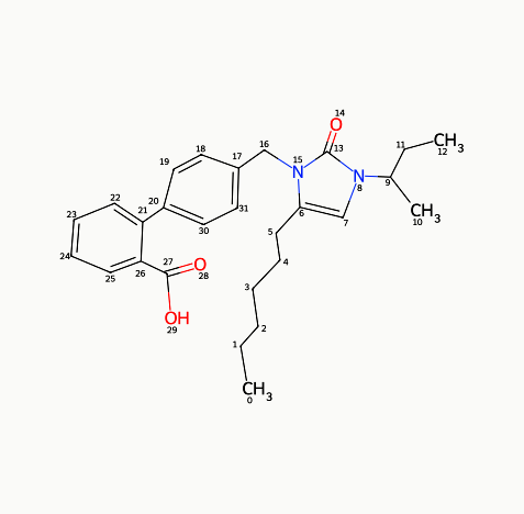 CCCCCCc1cn(C(C)CC)c(=O)n1Cc1ccc(-c2ccccc2C(=O)O)cc1